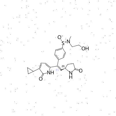 CN(CCO)[S+]([O-])c1ccc(/C(=C\[C@H]2CCC(=O)N2)c2ccc(C3CC3)c(=O)[nH]2)cc1